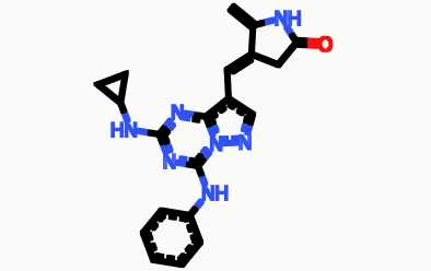 C=C1NC(=O)C/C1=C\c1cnn2c(Nc3ccccc3)nc(NC3CC3)nc12